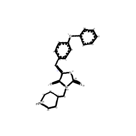 O=C1/C(=C/c2ccc(Oc3ccccc3)cc2)SC(=S)N1CC1CCNCC1